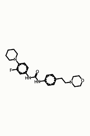 O=C(Nc1ccc(CCN2CCOCC2)cc1)Nc1ccc(N2CCCCC2)c(F)c1